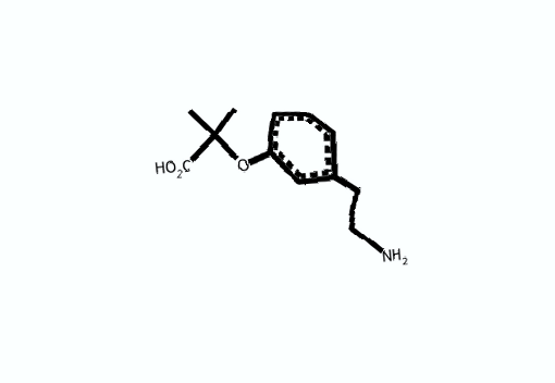 CC(C)(Oc1cccc(CCN)c1)C(=O)O